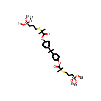 CCO[Si](CCCSC(C)(C)C(=O)Oc1ccc(C(C)(C)c2ccc(OC(=O)C(C)(C)SCCC[Si](OCC)(OCC)OCC)cc2)cc1)(OCC)OCC